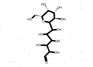 O=CC(O)C(O)C(O)C(O)C(O)C1O[C@H](CO)[C@H](O)[C@H](O)[C@H]1O